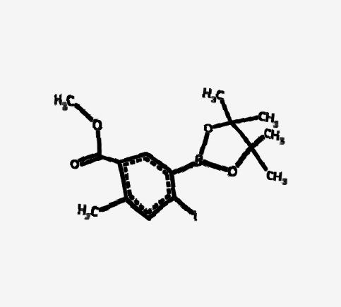 COC(=O)c1cc(B2OC(C)(C)C(C)(C)O2)c(I)cc1C